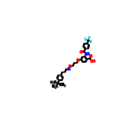 CC(C)(C)c1ccc(CCC=NOCCCOc2ccc(C(=O)O)c(NC(=O)c3ccc(C(F)(F)F)cc3)c2)cc1